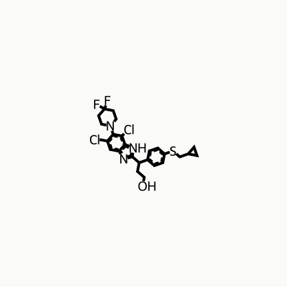 OCCC(c1ccc(SCC2CC2)cc1)c1nc2cc(Cl)c(N3CCC(F)(F)CC3)c(Cl)c2[nH]1